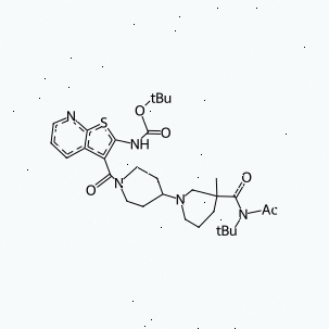 CC(=O)N(C(=O)C1(C)CCCN(C2CCN(C(=O)c3c(NC(=O)OC(C)(C)C)sc4ncccc34)CC2)C1)C(C)(C)C